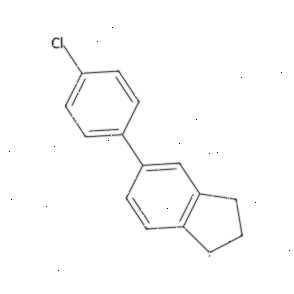 Clc1ccc(-c2ccc3c(c2)CC[CH]3)cc1